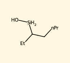 CCCCC(CC)[SiH2]O